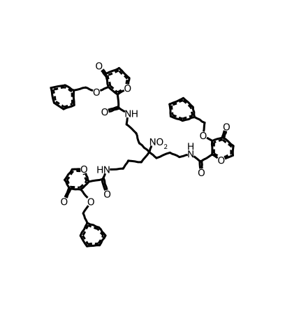 O=C(NCCCC(CCCNC(=O)c1occc(=O)c1OCc1ccccc1)(CCCNC(=O)c1occc(=O)c1OCc1ccccc1)[N+](=O)[O-])c1occc(=O)c1OCc1ccccc1